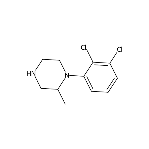 CC1CNCCN1c1cccc(Cl)c1Cl